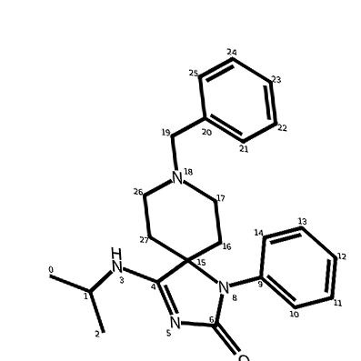 CC(C)NC1=NC(=O)N(c2ccccc2)C12CCN(Cc1ccccc1)CC2